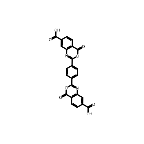 O=C(O)c1ccc2c(=O)oc(-c3ccc(-c4nc5cc(C(=O)O)ccc5c(=O)o4)cc3)nc2c1